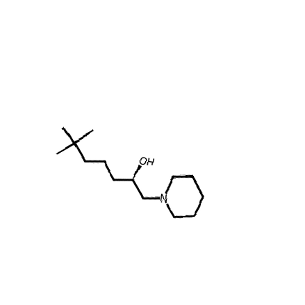 CC(C)(C)CCC[C@@H](O)CN1CCCCC1